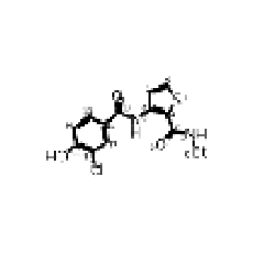 CCNC(=O)c1sccc1NC(=O)c1ccc(O)c(Cl)c1